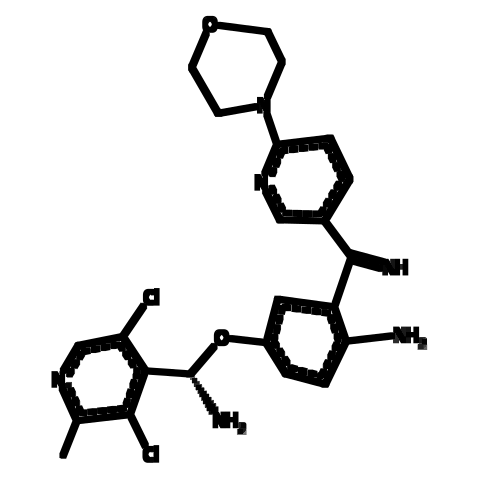 Cc1ncc(Cl)c([C@@H](N)Oc2ccc(N)c(C(=N)c3ccc(N4CCOCC4)nc3)c2)c1Cl